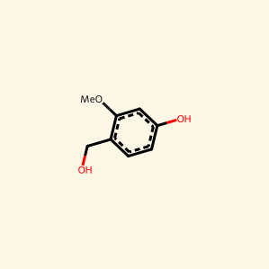 COc1cc(O)ccc1CO